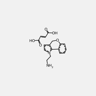 NCCn1ccc2c1-c1ccccc1OC2.O=C(O)/C=C/C(=O)O